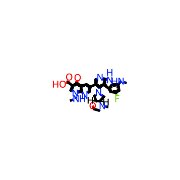 CNc1cc(F)cc2c1[nH]c1ncc(-c3cnc4c(c3)c(=O)c(C(=O)O)cn4NC)c(N3C[C@H]4OCCN(C)[C@H]4C3)c12